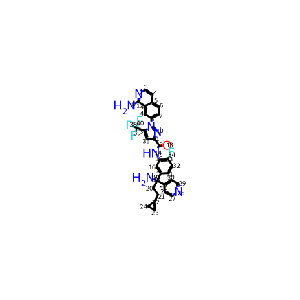 Nc1nccc2ccc(-n3nc(C(=O)Nc4cc(C(N)(CCC5CC5)c5ccncc5)ccc4F)cc3C(F)(F)F)cc12